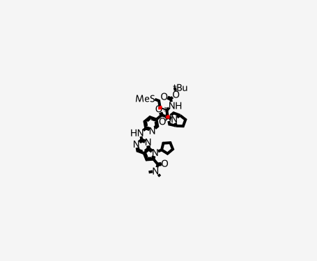 CSCC[C@@H](NC(=O)OC(C)(C)C)C(=O)N1C2CCC1CN(C(=O)c1ccc(Nc3ncc4cc(C(=O)N(C)C)n(C5CCCC5)c4n3)nc1)C2